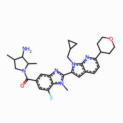 CC1CN(C(=O)c2cc(F)c3c(c2)nc(-c2cc4ccc(C5CCOCC5)nc4n2CC2CC2)n3C)C(C)C1N